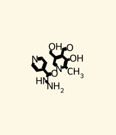 Cc1ncc(CO)c(C=O)c1O.NNC(=O)c1ccncc1